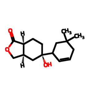 CC1(C)CC=CC([C@]2(O)CC[C@@H]3C(=O)OC[C@@H]3C2)C1